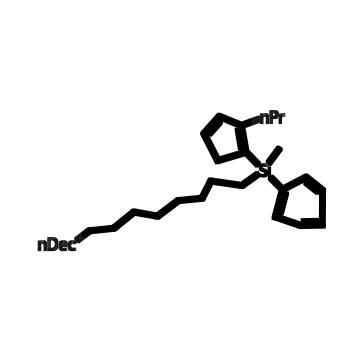 CCCCCCCCCCCCCCCCCC[Si](C)(C1=C(CCC)C=CC1)c1ccccc1